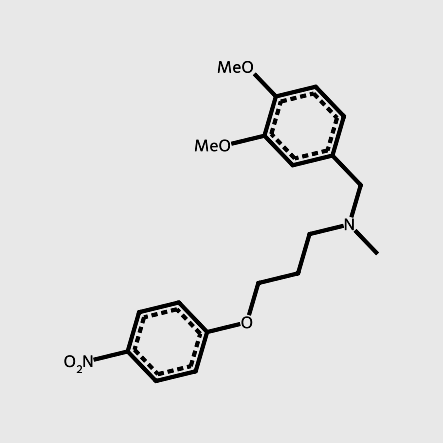 COc1ccc(CN(C)CCCOc2ccc([N+](=O)[O-])cc2)cc1OC